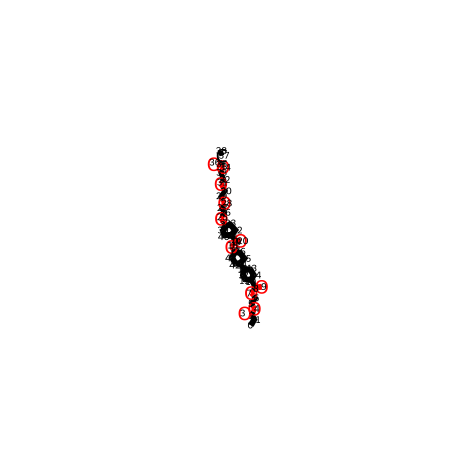 C=CC(=O)OCCOC(=O)c1ccc(-c2ccc(OC(=O)c3ccc(OCCOCCOCCOC(=O)CC)cc3)cc2)cc1